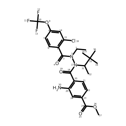 CCN(C(=O)c1ccc(OC(F)(F)F)cc1Cl)N(C(=O)c1ccc(C(=O)OC)cc1N)C(C)C(C)(C)C